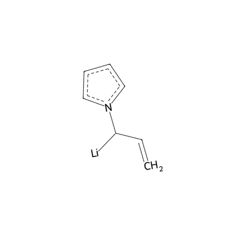 [Li][CH](C=C)n1cccc1